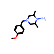 COc1ccc(CN2CC(C)N(N)C(C)C2)cc1